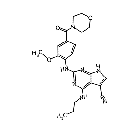 CCCNc1nc(Nc2ccc(C(=O)N3CCOCC3)cc2OC)nc2[nH]cc(C#N)c12